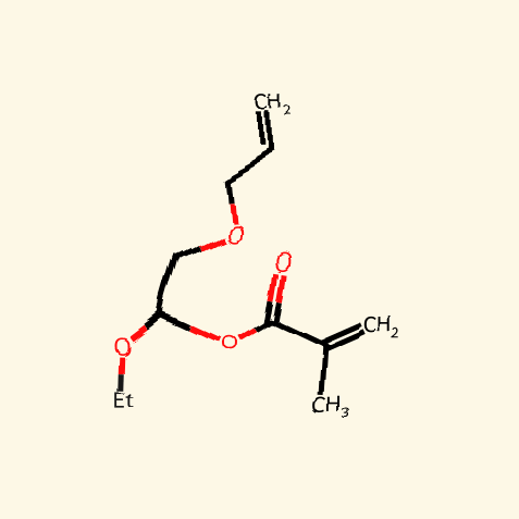 C=CCOCC(OCC)OC(=O)C(=C)C